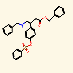 O=C(CC(CNCc1ccccc1)c1ccc(OS(=O)(=O)c2ccccc2)cc1)OCc1ccccc1